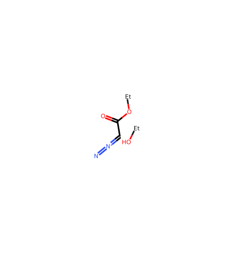 CCO.CCOC(=O)C=[N+]=[N-]